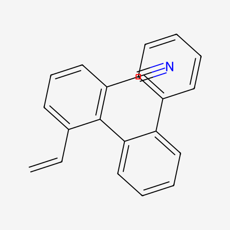 C=Cc1cccc(C#N)c1-c1ccccc1-c1ccccc1